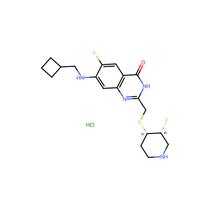 Cl.O=c1[nH]c(CS[C@H]2CCNC[C@H]2F)nc2cc(NCC3CCC3)c(F)cc12